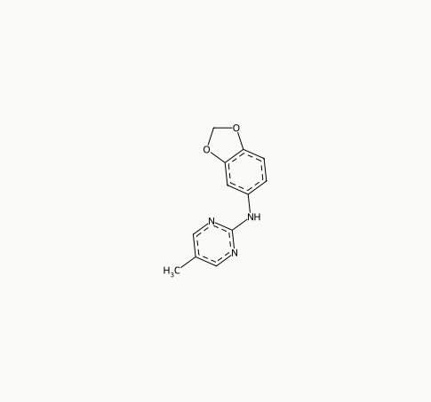 Cc1cnc(Nc2ccc3c(c2)OCO3)nc1